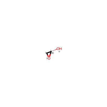 O[C@H]1CO1